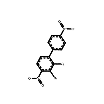 O=[N+]([O-])c1ccc(-c2ccc([N+](=O)[O-])c(Br)c2Br)cc1